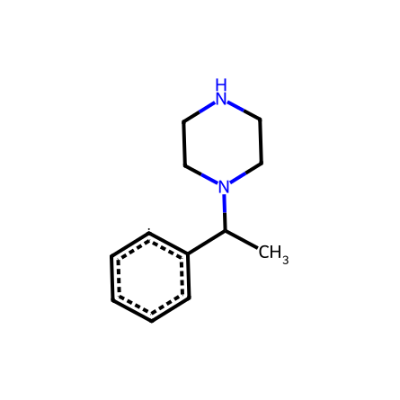 CC(c1[c]cccc1)N1CCNCC1